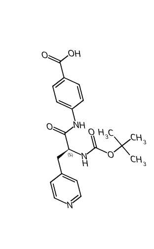 CC(C)(C)OC(=O)N[C@@H](Cc1ccncc1)C(=O)Nc1ccc(C(=O)O)cc1